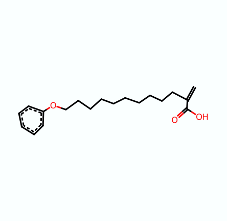 C=C(CCCCCCCCCCOc1ccccc1)C(=O)O